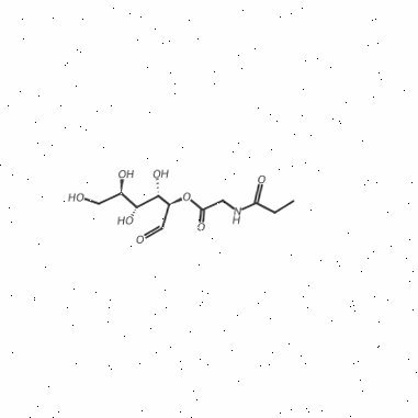 CCC(=O)NCC(=O)O[C@@H](C=O)[C@@H](O)[C@H](O)[C@H](O)CO